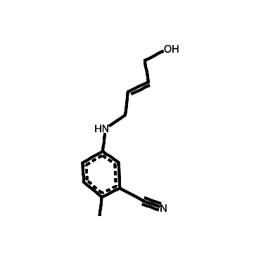 Cc1ccc(NCC=CCO)cc1C#N